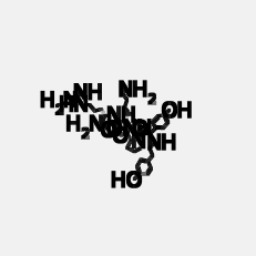 N=C(N)NCCC[C@H](NC(=O)[C@H](CCCCN)NC(=O)[C@@H]1CCCN1C(=O)[C@H](NCCc1ccc(O)cc1)c1ccc(O)cc1)C(N)=O